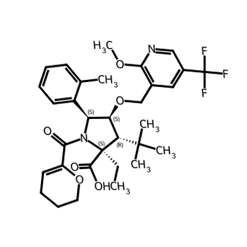 CC[C@@]1(C(=O)O)[C@@H](C(C)(C)C)[C@H](OCc2cc(C(F)(F)F)cnc2OC)[C@H](c2ccccc2C)N1C(=O)C1=CCCCO1